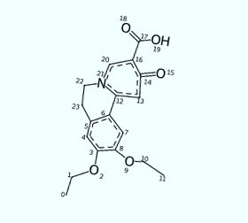 CCOc1cc2c(cc1OCC)-c1cc(=O)c(C(=O)O)cn1CC2